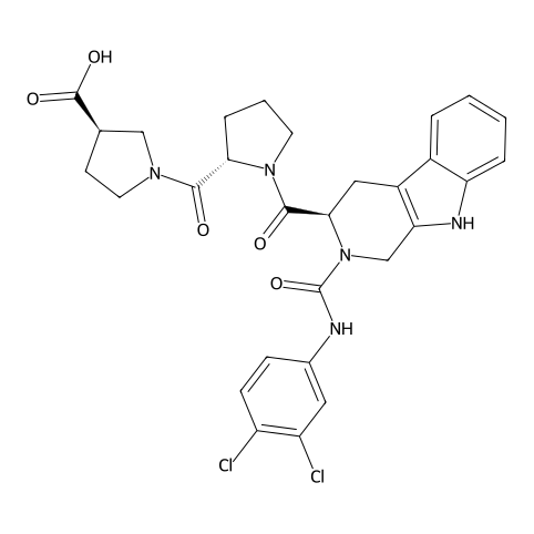 O=C(O)[C@@H]1CCN(C(=O)[C@@H]2CCCN2C(=O)[C@H]2Cc3c([nH]c4ccccc34)CN2C(=O)Nc2ccc(Cl)c(Cl)c2)C1